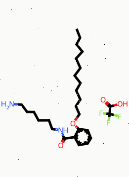 CCCCCCCCCCCCOc1ccccc1C(=O)NCCCCCCN.O=C(O)C(F)(F)F